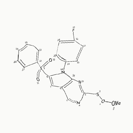 COOSc1ncc2cc(S(=O)(=O)c3ccccc3)n(-c3ccc(F)cc3)c2n1